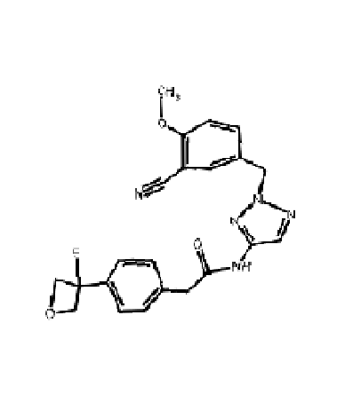 COc1ccc(Cn2ncc(NC(=O)Cc3ccc(C4(F)COC4)cc3)n2)cc1C#N